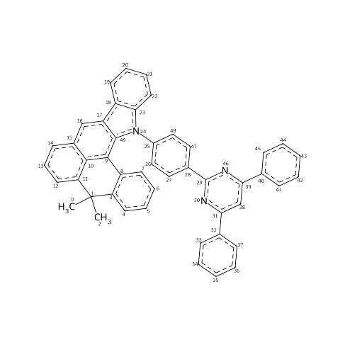 CC1(C)c2ccccc2-c2c3c1cccc3cc1c3ccccc3n(-c3ccc(-c4nc(-c5ccccc5)cc(-c5ccccc5)n4)cc3)c21